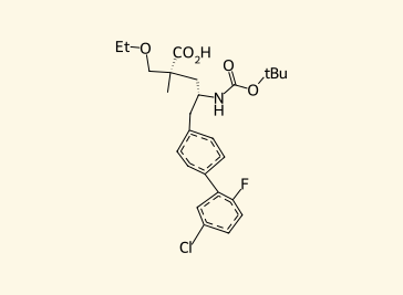 CCOC[C@](C)(C[C@@H](Cc1ccc(-c2cc(Cl)ccc2F)cc1)NC(=O)OC(C)(C)C)C(=O)O